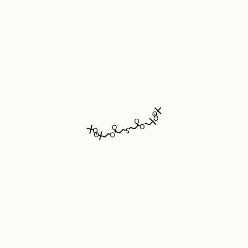 CC(C)(C)OOC(C)(C)CCOC(=O)CCSCCC(=O)OCCC(C)(C)OOC(C)(C)C